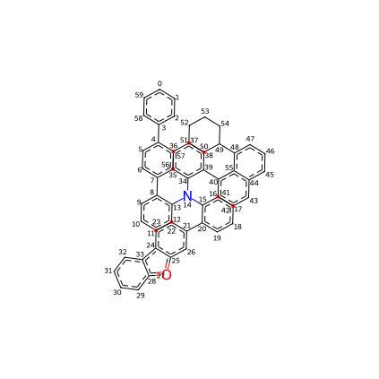 c1ccc(-c2ccc(-c3ccccc3N(c3ccccc3-c3ccc4c(c3)oc3ccccc34)c3ccccc3-c3cccc4cccc(C5CCCCC5)c34)cc2)cc1